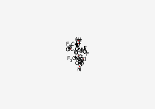 C[C@@H]1C2c3c(C(F)(F)F)nn(CC(=O)N[C@@H](Cc4cc(F)cc(F)c4)c4nc(CCC(C)(C)S(C)(=O)=O)ccc4-c4ccc(Cl)c5c(N(C(=O)OCCN(C)C)S(C)(=O)=O)nn(CC(F)(F)F)c45)c3C(F)(F)[C@@H]21